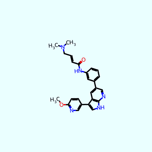 COc1ccc(-c2c[nH]c3ncc(-c4cccc(NC(=O)/C=C/CN(C)C)c4)cc23)cn1